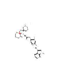 Cn1cc(C(=O)Nc2cc(F)c(CC(=O)C(OC3CCCCC3)(O[C@H]3CC[C@H](C(=O)O)CC3)N3CCCC3)cc2Cl)c2ccccc21